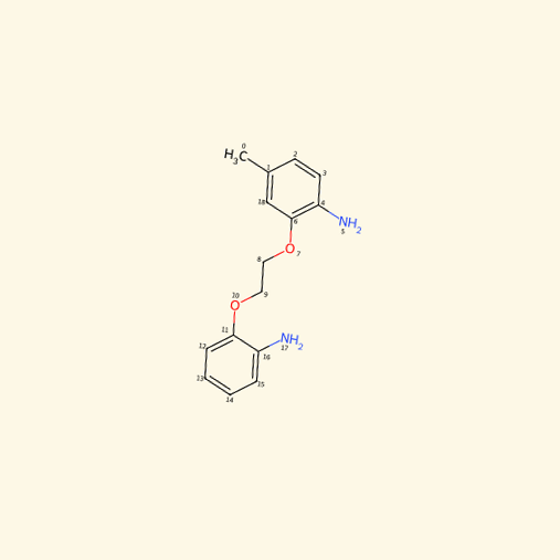 Cc1ccc(N)c(OCCOc2ccccc2N)c1